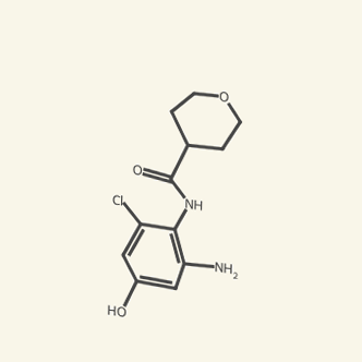 Nc1cc(O)cc(Cl)c1NC(=O)C1CCOCC1